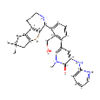 Cn1cc(-c2cccc(C3NCCc4c3sc3c4CC(C)(C)C3)c2CO)cc(Nc2ccccn2)c1=O